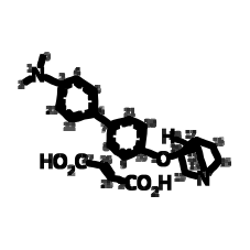 CN(C)c1ccc(-c2ccc(O[C@H]3CN4CCC3CC4)cc2)cc1.O=C(O)/C=C/C(=O)O